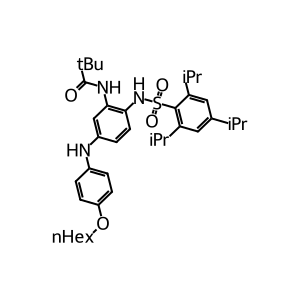 CCCCCCOc1ccc(Nc2ccc(NS(=O)(=O)c3c(C(C)C)cc(C(C)C)cc3C(C)C)c(NC(=O)C(C)(C)C)c2)cc1